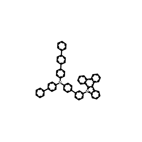 c1ccc(-c2ccc(-c3ccc(N(c4ccc(-c5ccccc5)cc4)c4ccc(-c5cccc(-n6c7ccccc7c7c8ccccc8c8ccccc8c76)c5)cc4)cc3)cc2)cc1